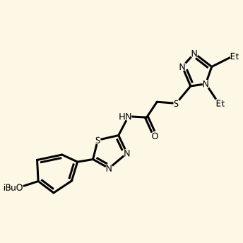 CCc1nnc(SCC(=O)Nc2nnc(-c3ccc(OCC(C)C)cc3)s2)n1CC